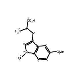 COc1ccc2c(c1)c(CC(N)C(=O)O)cn2C